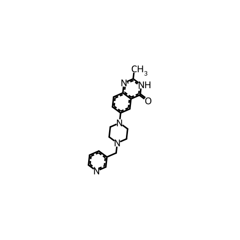 Cc1nc2ccc(N3CCN(Cc4cccnc4)CC3)cc2c(=O)[nH]1